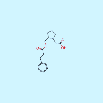 O=C(O)CC1CCCC1COC(=O)CCc1ccccc1